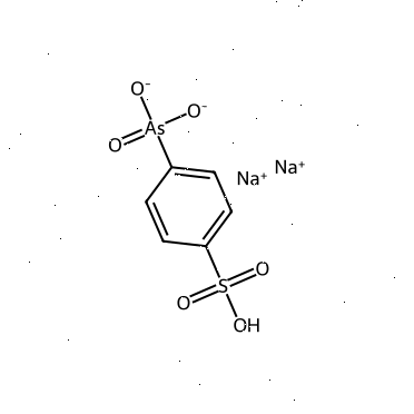 O=S(=O)(O)c1ccc([As](=O)([O-])[O-])cc1.[Na+].[Na+]